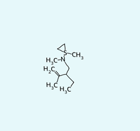 C=C(C)C(CC)CN(C)S1(C)CC1